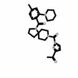 CC(=O)c1ccn(C(=O)N2CCC3(CCCN3C(=O)c3ccc(C)cc3N3CCCCC3)CC2)n1